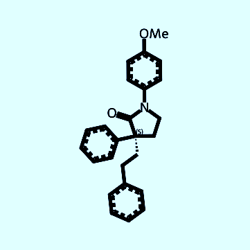 COc1ccc(N2CC[C@@](CCc3ccccc3)(c3ccccc3)C2=O)cc1